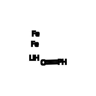 O=P.[Fe].[Fe].[LiH]